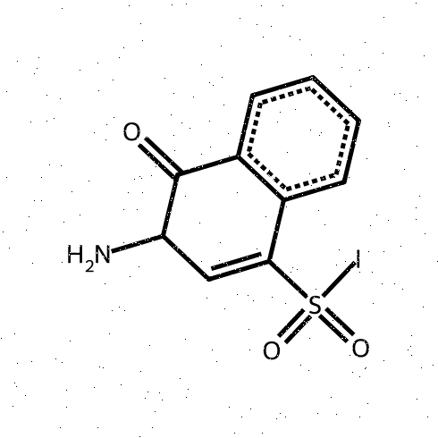 NC1C=C(S(=O)(=O)I)c2ccccc2C1=O